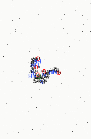 COc1cc(C(=O)Nc2cccc(-c3nccc(-c4ccc(CNC[C@H]5CCC(=O)N5)c(OC)n4)c3Cl)c2C)ncc1CNC[C@@H]1CCC(=O)N1